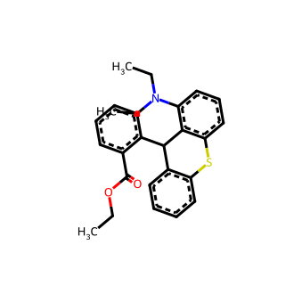 CCOC(=O)c1ccccc1C1c2ccccc2Sc2cccc(N(CC)CC)c21